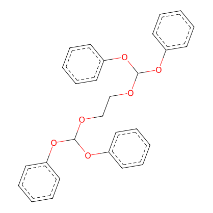 c1ccc(OC(OCCOC(Oc2ccccc2)Oc2ccccc2)Oc2ccccc2)cc1